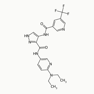 CCN(CC)c1ccc(NC(=O)c2n[nH]cc2NC(=O)c2cncc(C(F)(F)F)c2)cn1